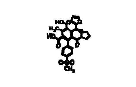 Cc1c(C(=O)O)c(C(=O)c2ccco2)c(C(=O)C2CCCC2)c(-c2ccc(S(C)(=O)=O)cc2)c1C(=O)O